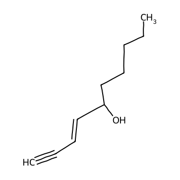 C#CC=CC(O)CCCCC